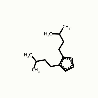 CC(C)CCc1ccsc1CCC(C)C